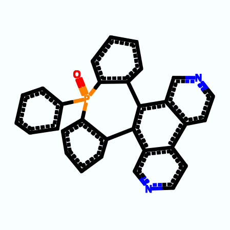 O=P1(c2ccccc2)c2ccccc2-c2c(c3cnccc3c3ccncc23)-c2ccccc21